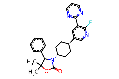 CC1(C)OC(=O)N([C@H]2CC[C@H](c3cnc(F)c(-c4ncccn4)c3)CC2)C1c1ccccc1